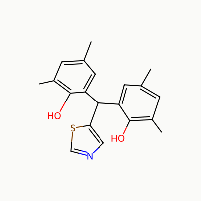 Cc1cc(C)c(O)c(C(c2cncs2)c2cc(C)cc(C)c2O)c1